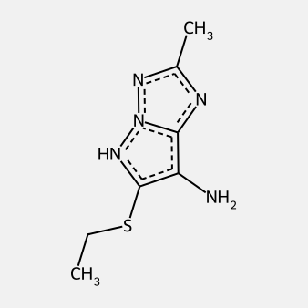 CCSc1[nH]n2nc(C)nc2c1N